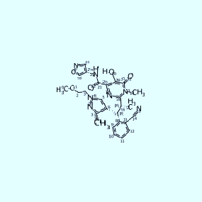 COCCn1cc([C@@H](c2ccccc2C#N)[C@@H](C)c2nc(C(=O)Nc3cnoc3)c(O)c(=O)n2C)c(C)n1